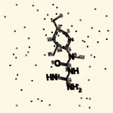 CCc1ccc(N(C)C(=O)NC(=N)N)c(C)c1